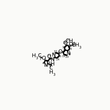 CCOc1cnn(CC)c1C(=O)Nc1ccc(Oc2ccnc3cc(OC)c(OC)cc23)cn1